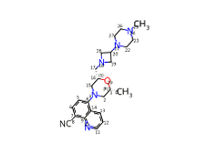 C[C@@H]1CN(c2ccc(C#N)c3ncccc23)C[C@H](CN2CC(N3CCN(C)CC3)C2)O1